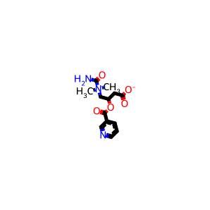 C[N+](C)(CC(CC(=O)[O-])OC(=O)c1cccnc1)C(N)=O